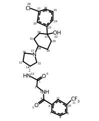 O=C(CNC(=O)c1cccc(C(F)(F)F)c1)N[C@@H]1CCN(C2CCC(O)(c3cccc(Cl)c3)CC2)C1